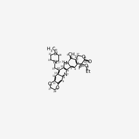 C=C1C2=C(C=C3c4nc5cc6c(cc5c(CN5CCN(C)CC5)c4CN13)OCCO6)[C@](F)(OCC)C(=O)OC2